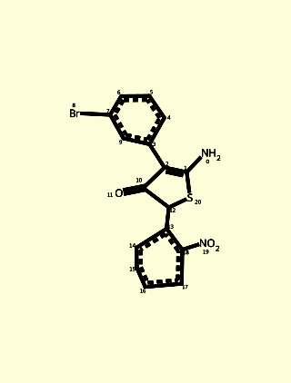 NC1=C(c2cccc(Br)c2)C(=O)C(c2ccccc2[N+](=O)[O-])S1